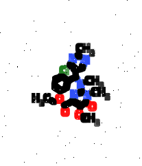 CCOC(=O)c1nc(N(C)C(c2cnc(C)nc2)c2ccccc2Cl)n(C)c(=O)c1OC